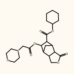 O=C(CN1CCOCC1)OC1C2CC(C3C(=O)OCC23)C1C(=O)OC1CCCCC1